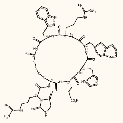 CC(=O)[C@@H]1CSSC[C@H](NC(=O)[C@H](CCCNC(=N)N)N2C(=O)CNC2=O)C(=O)N[C@@H](CCC(=O)O)C(=O)N[C@@H](Cc2cnc[nH]2)C(=O)N[C@H](Cc2ccc3ccccc3c2)C(=O)N[C@@H](CCCNC(=N)N)C(=O)N[C@@H](Cc2c[nH]c3ccccc23)C(=O)N1